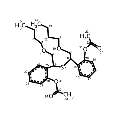 CCCCOCC(SC(COCCCC)c1ccccc1OC(C)=O)c1ccccc1OC(C)=O